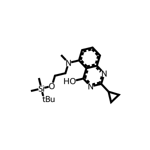 CN(CCO[Si](C)(C)C(C)(C)C)c1cccc2nc(C3CC3)nc(O)c12